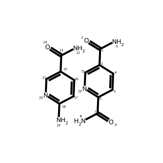 NC(=O)c1ccc(C(N)=O)nc1.NC(=O)c1ccc(N)nc1